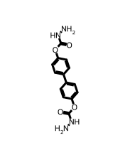 NNC(=O)Oc1ccc(-c2ccc(OC(=O)NN)cc2)cc1